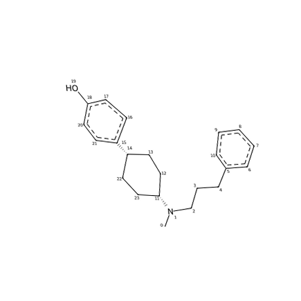 CN(CCCc1ccccc1)[C@H]1CC[C@@H](c2ccc(O)cc2)CC1